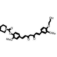 COc1cc(C=CC(=O)CC(=O)C=Cc2ccc(OC(=O)N3CCCCC3)c(OC)c2)ccc1OCCO